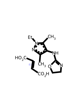 CCn1nc(C)c(NC2=NCCO2)c1C.O=C(O)/C=C/C(=O)O